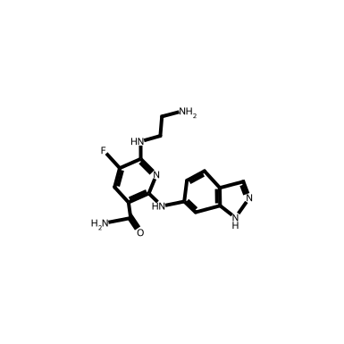 NCCNc1nc(Nc2ccc3cn[nH]c3c2)c(C(N)=O)cc1F